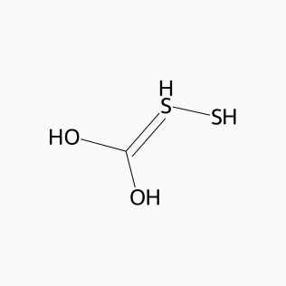 OC(O)=[SH]S